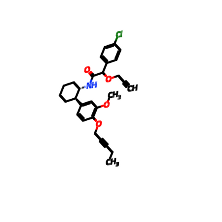 C#CCOC(C(=O)N[C@H]1CCCC[C@@H]1c1ccc(OCC#CCC)c(OC)c1)c1ccc(Cl)cc1